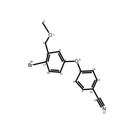 COCc1cc(Oc2ccc(C#N)cc2)ccc1Br